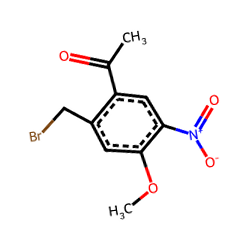 COc1cc(CBr)c(C(C)=O)cc1[N+](=O)[O-]